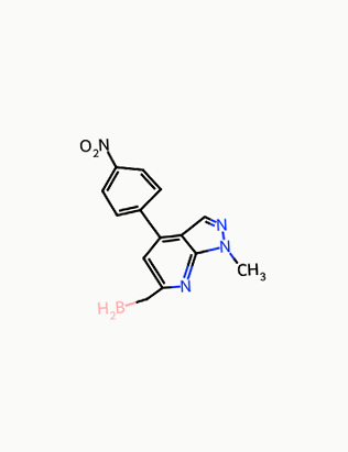 BCc1cc(-c2ccc([N+](=O)[O-])cc2)c2cnn(C)c2n1